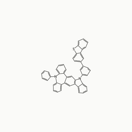 c1ccc(N2c3ccccc3-c3cc4c5ccccc5n(-c5cccc(-c6ccc7sc8ccccc8c7c6)c5)c4cc3-c3ccccc32)cc1